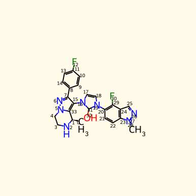 C[C@H]1NCCn2nc(-c3ccc(F)cc3)c(N3C=CN(c4ccc5c(cnn5C)c4F)C3O)c21